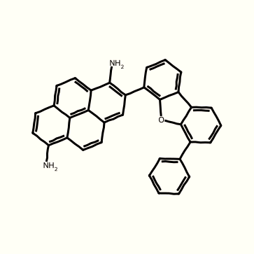 Nc1ccc2ccc3c(N)c(-c4cccc5c4oc4c(-c6ccccc6)cccc45)cc4ccc1c2c43